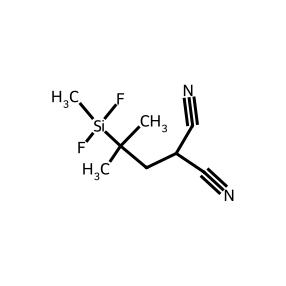 CC(C)(CC(C#N)C#N)[Si](C)(F)F